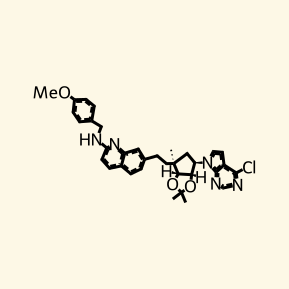 COc1ccc(CNc2ccc3ccc(CC[C@@]4(C)C[C@@H](n5ccc6c(Cl)ncnc65)[C@@H]5OC(C)(C)O[C@@H]54)cc3n2)cc1